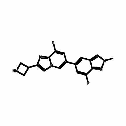 Cn1cc2cc(-c3cc(F)c4nc(C5CNC5)cn4c3)cc(F)c2n1